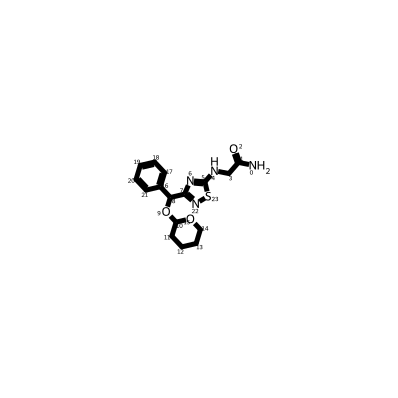 NC(=O)CNc1nc(C(OC2CCCCO2)c2ccccc2)ns1